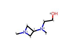 CN1CC(N(C)CCO)C1